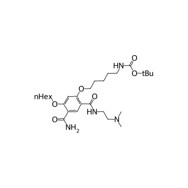 CCCCCCOc1cc(OCCCCCNC(=O)OC(C)(C)C)c(C(=O)NCCN(C)C)cc1C(N)=O